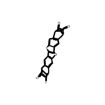 O=C1C(=O)C2C=CC1c1cc3sc4c5cc6c(cc5sc4c3cc12)C1C=CC6C(=O)C1=O